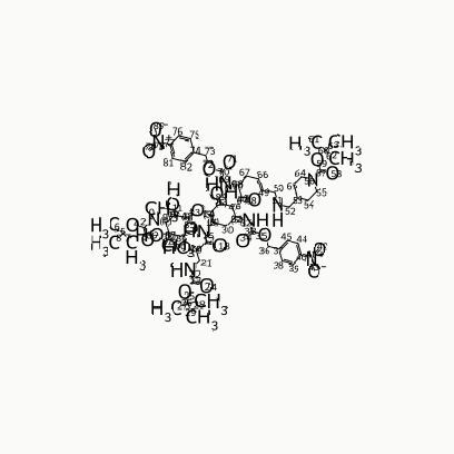 CN(C(=O)OC(C)(C)C)[C@@H]1[C@@H](O)[C@@H](O[C@H]2[C@H](NC(=O)[C@@H](O)CNC(=O)OC(C)(C)C)C[C@H](NC(=O)OCc3ccc([N+](=O)[O-])cc3)C([C@H]3OC(CNCC4CCN(C(=O)OC(C)(C)C)CC4)=CC[C@H]3NC(=O)OCc3ccc([N+](=O)[O-])cc3)[C@@H]2O)OC[C@]1(C)O